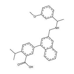 COc1cccc(C(C)NCc2cc(-c3ccc(C(C)C)c(C(=O)O)c3)c3ccccc3c2)c1